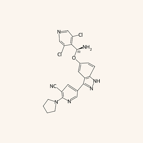 N#Cc1cc(-c2n[nH]c3ccc(O[C@H](N)c4c(Cl)cncc4Cl)cc23)cnc1N1CCCC1